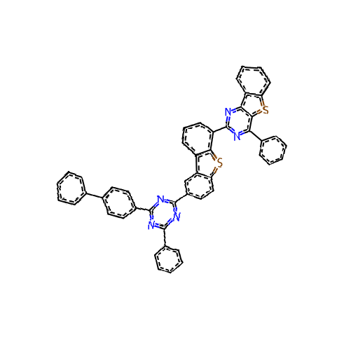 c1ccc(-c2ccc(-c3nc(-c4ccccc4)nc(-c4ccc5sc6c(-c7nc(-c8ccccc8)c8sc9ccccc9c8n7)cccc6c5c4)n3)cc2)cc1